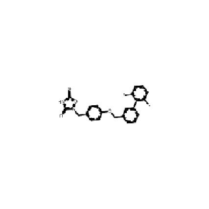 O=c1[nH]c(=O)n(Cc2ccc(OCc3cccc(-c4c(F)cccc4F)c3)cc2)o1